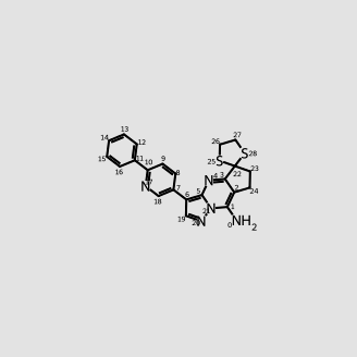 Nc1c2c(nc3c(-c4ccc(-c5ccccc5)nc4)cnn13)C1(CC2)SCCS1